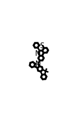 CC1(C)c2ccccc2-c2cc3c4ccccc4n(-c4ccc5c(c4)nc4c6c(cccc65)Sc5ccccc5-4)c3cc21